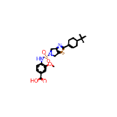 COc1cc(C(=O)O)ccc1NS(=O)(=O)N1Cc2nc(C3=CCC(C(C)(C)C)CC3)sc2C1